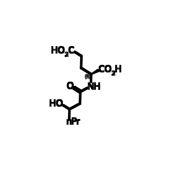 CCCC(O)CC(=O)N[C@@H](CCC(=O)O)C(=O)O